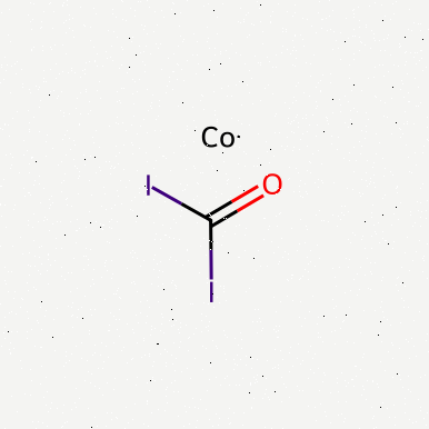 O=C(I)I.[Co]